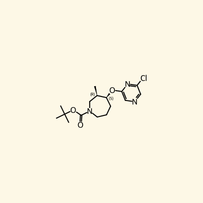 C[C@@H]1CN(C(=O)OC(C)(C)C)CCC[C@@H]1Oc1cncc(Cl)n1